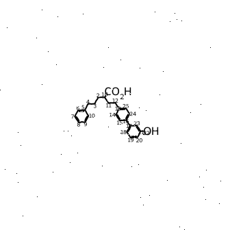 O=C(O)C(CCCc1ccccc1)CCc1ccc(-c2cccc(O)c2)cc1